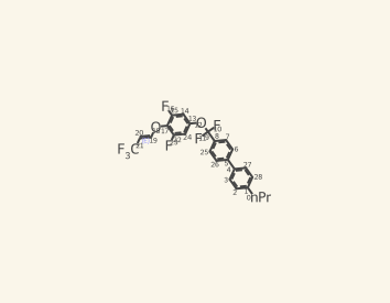 CCCc1ccc(-c2ccc(C(F)(F)Oc3cc(F)c(O/C=C/C(F)(F)F)c(F)c3)cc2)cc1